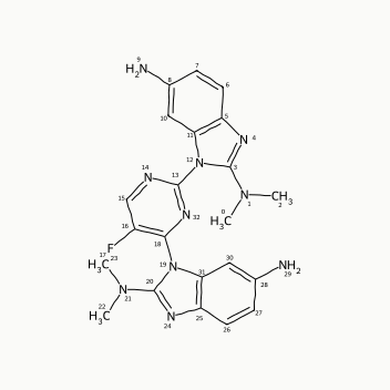 CN(C)c1nc2ccc(N)cc2n1-c1ncc(F)c(-n2c(N(C)C)nc3ccc(N)cc32)n1